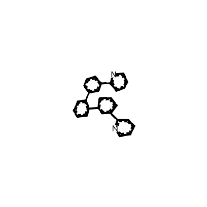 c1ccc(-c2cccc(-c3ccccc3-c3cccc(-c4ccccn4)c3)c2)nc1